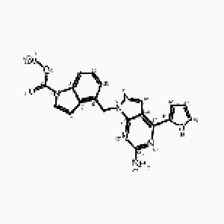 CC(C)(C)OC(=O)n1ccc2c(Cn3ncc4c(-c5ccco5)nc(N)nc43)cccc21